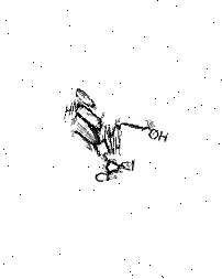 CC(C)C(c1ccc(=O)[nH]c1)c1nc(CCCO)[nH]c1Sc1cc(Cl)cc(Cl)c1